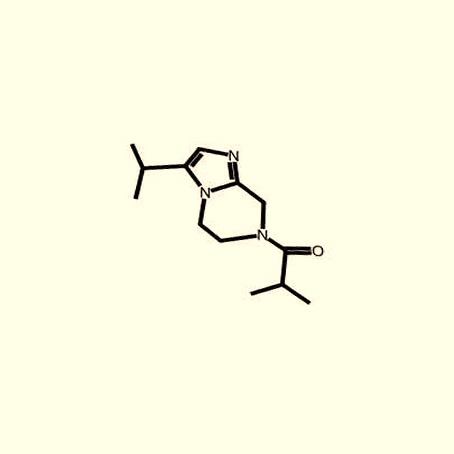 CC(C)C(=O)N1CCn2c(C(C)C)cnc2C1